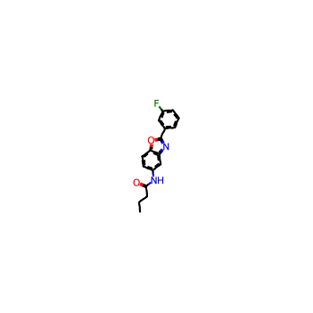 CCCC(=O)Nc1ccc2oc(-c3cccc(F)c3)nc2c1